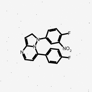 O=[N+]([O-])c1cc(N2CC=C3N=CC=C(c4ccc(F)cc4)N32)ccc1F